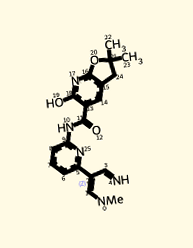 CN/C=C(\C=N)c1cccc(NC(=O)c2cc3c(nc2O)OC(C)(C)C3)n1